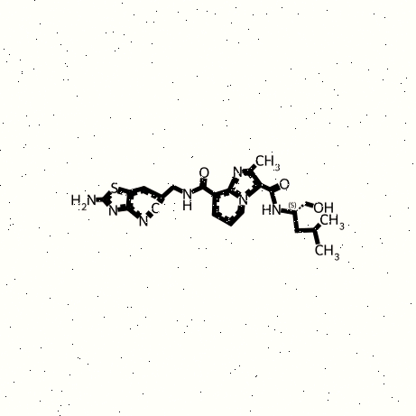 Cc1nc2c(C(=O)NCc3cnc4nc(N)sc4c3)cccn2c1C(=O)N[C@H](CO)CC(C)C